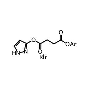 CC(=O)OC(=O)CCC(=O)Oc1cc[nH]n1.[Rh]